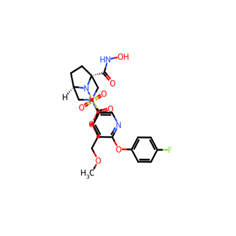 COCCOC(=O)N1C[C@H]2CC[C@@](C(=O)NO)(C1)N2S(=O)(=O)c1ccc(Oc2ccc(F)cc2)nc1